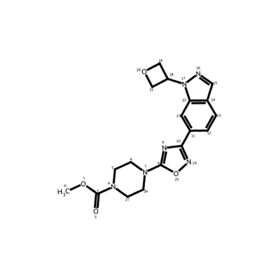 COC(=O)N1CCN(c2nc(-c3ccc4cnn(C5COC5)c4c3)no2)CC1